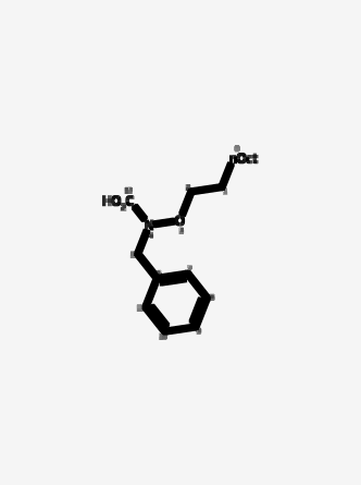 CCCCCCCCCCON(Cc1ccccc1)C(=O)O